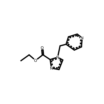 CCOC(=O)c1nccn1Cc1ccncc1